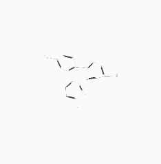 C.Nc1ccc(-c2ccc(N)cc2)cc1.c1ccncc1